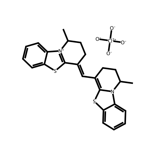 CC1CCC(C=C2CCC(C)[n+]3c2sc2ccccc23)=C2Sc3ccccc3N21.[O-][Cl+3]([O-])([O-])[O-]